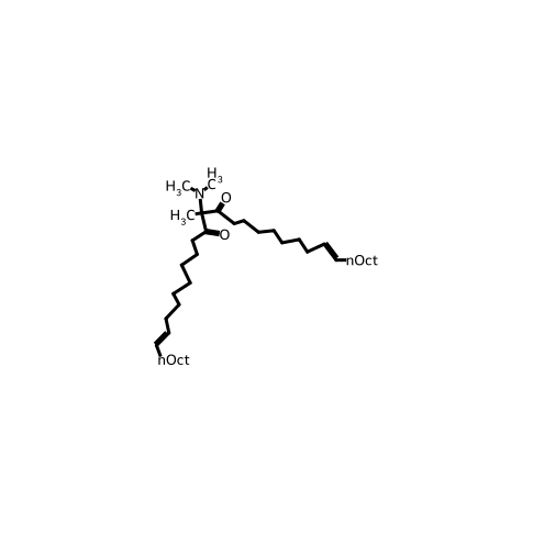 CCCCCCCCC=CCCCCCCCC(=O)C(C)(C(=O)CCCCCCCC=CCCCCCCCC)N(C)C